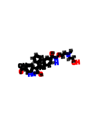 COC(=O)c1ccc2c(c1)NC(=O)/C2=C(\[AsH]c1ccc(C(=O)NOCCN(C)CCO)cc1)c1ccccc1